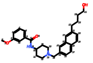 COc1cccc(C(=O)NC2CCN(Cc3ccc4ccc(CCCCO)cc4c3)CC2)c1